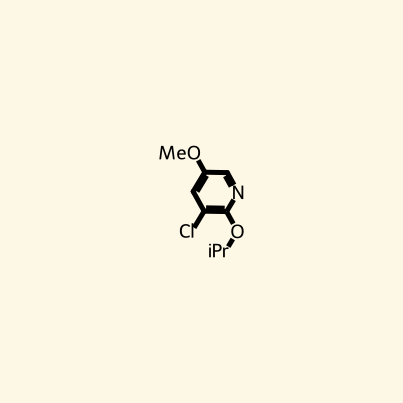 COc1cnc(OC(C)C)c(Cl)c1